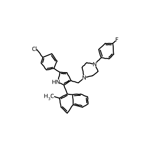 Cc1ccc2ccccc2c1-c1[nH]c(-c2ccc(Cl)cc2)cc1CN1CCN(c2ccc(F)cc2)CC1